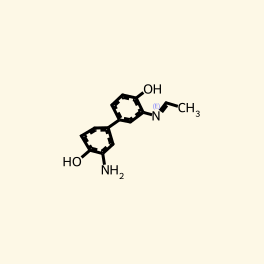 C/C=N/c1cc(-c2ccc(O)c(N)c2)ccc1O